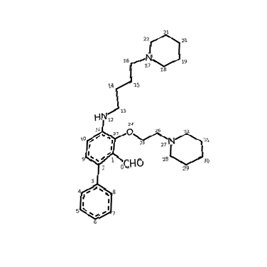 O=Cc1c(-c2ccccc2)ccc(NCCCCN2CCCCC2)c1OCCN1CCCCC1